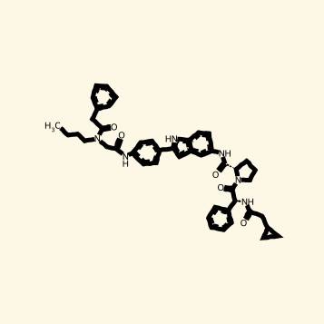 CCCCN(CC(=O)Nc1ccc(-c2cc3cc(NC(=O)[C@@H]4CCCN4C(=O)[C@H](NC(=O)CC4CC4)c4ccccc4)ccc3[nH]2)cc1)C(=O)Cc1ccccc1